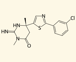 CN1C(=N)N[C@](C)(c2cnc(-c3cccc(Cl)c3)s2)CC1=O